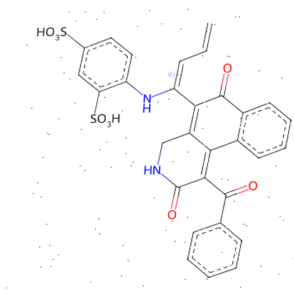 C=C/C=C(/Nc1ccc(S(=O)(=O)O)cc1S(=O)(=O)O)C1=C2CNC(=O)C(C(=O)c3ccccc3)=C2c2ccccc2C1=O